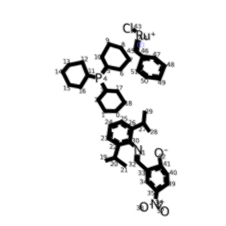 C1CCC(P(C2CCCCC2)C2CCCCC2)CC1.CC(C)c1cccc(C(C)C)c1N=Cc1cc([N+](=O)[O-])ccc1[O-].[Cl]/[Ru+]=[CH]/c1ccccc1